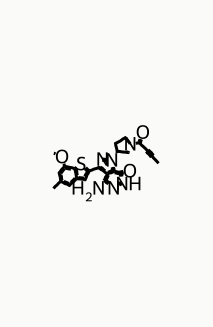 CC#CC(=O)N1CC[C@H](n2nc(-c3cc4cc(C)cc(OC)c4s3)c3c(N)n[nH]c(=O)c32)C1